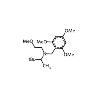 COCCN(Cc1c(OC)cc(OC)cc1OC)C(C)C(C)(C)C